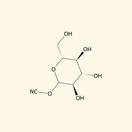 N#COC1O[C@H](CO)[C@@H](O)[C@H](O)[C@H]1O